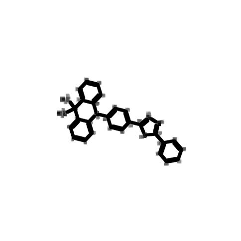 CC1(C)c2ccccc2N(c2ccc(-c3nnc(-c4ccccc4)s3)cc2)c2ccccc21